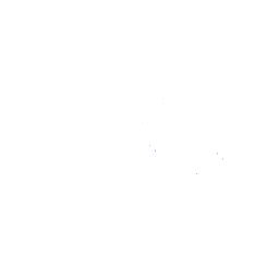 O=C(NC1C(=O)NC1CO)OCc1ccccc1